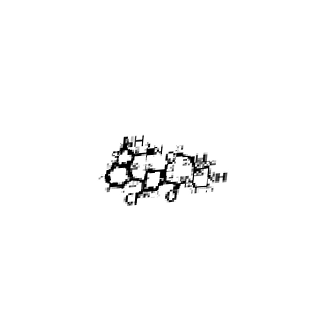 N#Cc1c(N)sc2cccc(-c3cc4c(cc3Cl)C(=O)N3CCNC[C@@H]3CCO4)c12